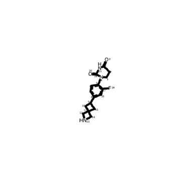 O=C1CCN(c2ccc(C3CC4(CNC4)C3)cc2F)C(=O)N1